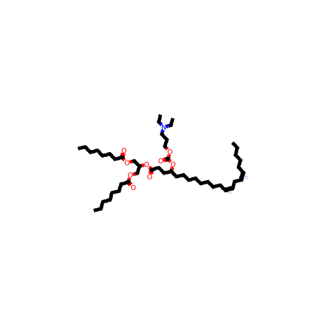 CCCCC/C=C\C/C=C\CCCCCCCCC(CCC(=O)OC(COC(=O)CCCCCCC)COC(=O)CCCCCCC)OC(=O)OCCCN(CC)CC